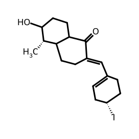 C[C@@H]1C(O)CCC2C(=O)/C(=C/C3=CC[C@@H](I)CC3)CCC21